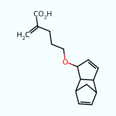 C=C(CCCOC1C=CC2C3C=CC(C3)C12)C(=O)O